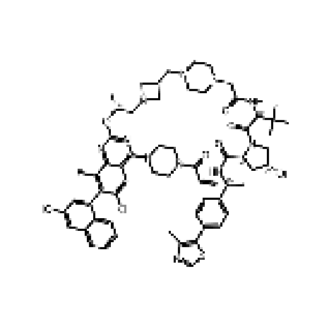 C=CC(=O)N1CCN(c2nc(O[C@H](C)CN3CC(CN4CCN(CC(=O)N[C@H](C(=O)N5C[C@H](O)C[C@H]5C(=O)N[C@@H](C)c5ccc(-c6scnc6C)cc5)C(C)(C)C)CC4)C3)nc3c(F)c(-c4cc(O)cc5ccccc45)c(Cl)cc23)CC1